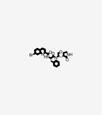 O=C[C@H](C[C@@H]1CCNC1=O)NC(=O)[C@H](Cc1ccccc1)NC(=O)c1ccc2ccc(Br)cc2n1